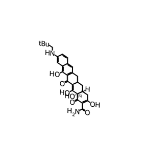 CC(C)(C)CNc1ccc2cc3c(c(O)c2c1)C(=O)C1=C(O)[C@]2(O)C(=O)C(C(N)=O)=C(O)C[C@@H]2CC1C3